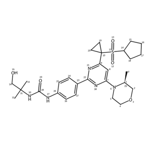 C[C@H]1COCCN1c1cc(C2(S(=O)(=O)C3CCCC3)CC2)nc(-c2ccc(NC(=O)NC(C)(C)CO)cc2)n1